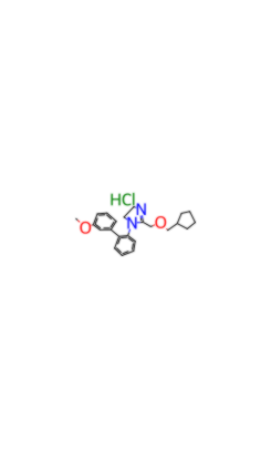 COc1cccc(-c2ccccc2N2CCN=C2COCC2CCCC2)c1.Cl